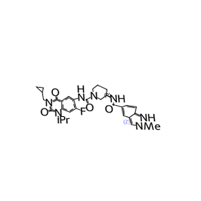 CN/C=C1/C=C(C(=O)N[C@@H]2CCCN(C(=O)Nc3cc4c(=O)n(CC5CC5)c(=O)n(C(C)C)c4cc3F)C2)C=CC1=N